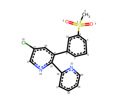 CS(=O)(=O)c1cccc(-c2cc(Cl)cnc2-c2ccccn2)c1